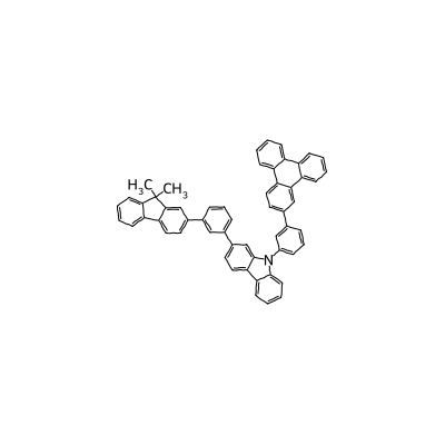 CC1(C)c2ccccc2-c2ccc(-c3cccc(-c4ccc5c6ccccc6n(-c6cccc(-c7ccc8c9ccccc9c9ccccc9c8c7)c6)c5c4)c3)cc21